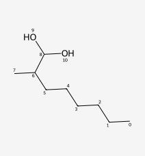 CCCCCCC(C)C(O)O